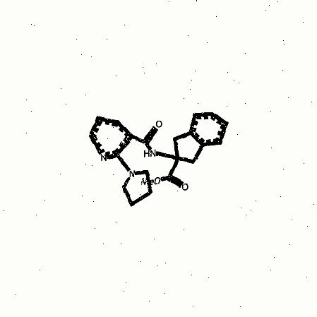 COC(=O)C1(NC(=O)c2cccnc2N2CCCC2)Cc2ccccc2C1